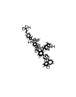 O=C(O)CCN1CCC2(CC1)CC(CNc1ccc(S(=O)(=O)NC(=O)c3ccc(N4CCN([C@@H]5CCCCc6c(Cl)cccc65)CC4)cc3Oc3cnc4[nH]ccc4c3)cc1[N+](=O)[O-])C2